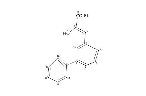 CCOC(=O)/C(O)=C/c1cccc(-c2ccccc2)c1